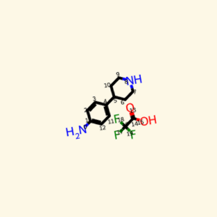 Nc1ccc(C2CCNCC2)cc1.O=C(O)C(F)(F)F